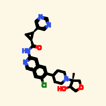 C[C@]1(N2CCC(c3cc4cc(NC(=O)[C@H]5C[C@@H]5c5cncnc5)ncc4cc3Cl)CC2)COC[C@H]1O